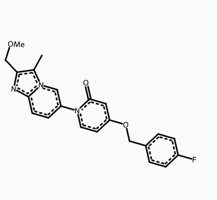 COCc1nc2ccc(-n3ccc(OCc4ccc(F)cc4)cc3=O)cn2c1C